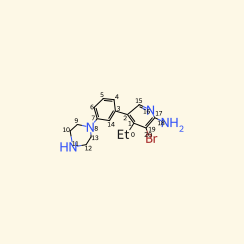 CCc1c(-c2cccc(N3CCNCC3)c2)cnc(N)c1Br